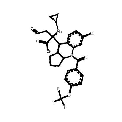 O=CCC(NC1CC1)(C(=O)O)C1c2ccc(Cl)cc2N(C(=O)c2ccc(OC(F)(F)F)cc2)C2CCCC21